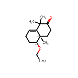 COCO[C@H]1CCC=C2C(C)(C)C(=O)CC[C@@]21C